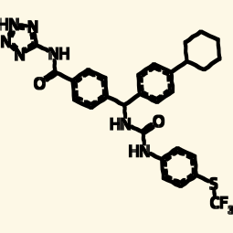 O=C(Nc1ccc(SC(F)(F)F)cc1)NC(c1ccc(C(=O)Nc2nn[nH]n2)cc1)c1ccc(C2CCCCC2)cc1